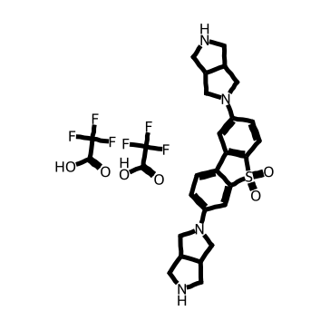 O=C(O)C(F)(F)F.O=C(O)C(F)(F)F.O=S1(=O)c2ccc(N3CC4CNCC4C3)cc2-c2ccc(N3CC4CNCC4C3)cc21